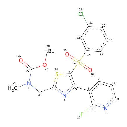 CN(Cc1nc(-c2cccnc2F)c(S(=O)(=O)c2cccc(Cl)c2)s1)C(=O)OC(C)(C)C